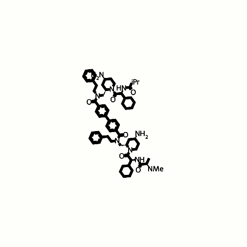 CN[C@@H](C)C(=O)N[C@H](C(=O)N1CC[C@@H](N)C[C@H]1CN(CCc1ccccc1)C(=O)c1ccc(-c2ccc(C(=O)N(CCc3ccccc3)C[C@@H]3C[C@H](N)CCN3C(=O)[C@@H](NC(=O)C(C)C)C3CCCCC3)cc2)cc1)C1CCCCC1